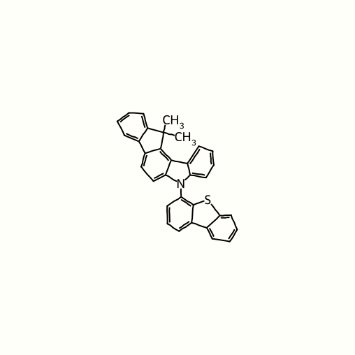 CC1(C)c2ccccc2-c2ccc3c(c21)c1ccccc1n3-c1cccc2c1sc1ccccc12